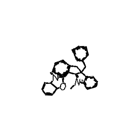 CN1C(=CC2=[N+](C)c3ccccc3C2(Cc2ccccc2)Cc2ccccc2)OC2C=CC=CC21